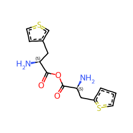 N[C@@H](Cc1ccsc1)C(=O)OC(=O)[C@@H](N)Cc1cccs1